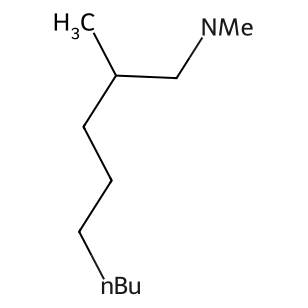 CCCCCCCC(C)CNC